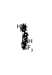 O=C(Cc1ccc(-c2cnc3[nH]ncc3c2)cc1F)Nc1cc(C2(C(F)(F)F)CC2)on1